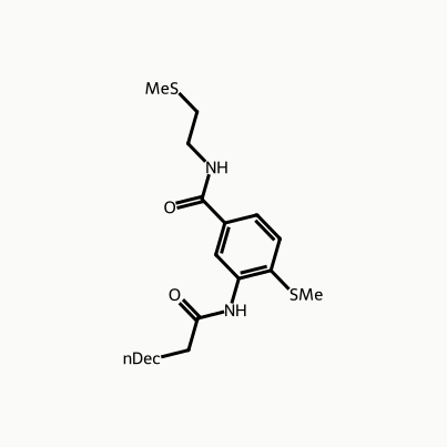 CCCCCCCCCCCC(=O)Nc1cc(C(=O)NCCSC)ccc1SC